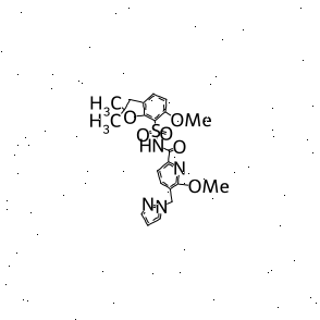 COc1ccc2c(c1S(=O)(=O)NC(=O)c1ccc(Cn3cccn3)c(OC)n1)OC(C)(C)C2